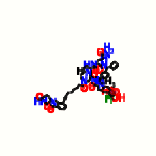 Cn1c(C(=O)N[C@H]2CN(C(=O)CCCCCC#Cc3cccc4c3CN(C3CCC(=O)NC3=O)C4=O)CC[C@H]3CC[C@@H](C(=O)N[C@@H](CCC(N)=O)C(=O)NC(c4ccccc4)c4ccccc4)N3C2=O)cc2cc(C(F)(F)P(=O)(O)O)ccc21